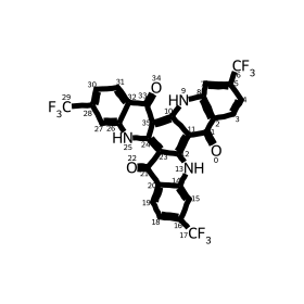 O=c1c2ccc(C(F)(F)F)cc2[nH]c2c1c1[nH]c3cc(C(F)(F)F)ccc3c(=O)c1c1[nH]c3cc(C(F)(F)F)ccc3c(=O)c21